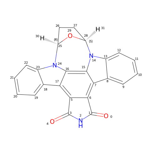 O=C1NC(=O)c2c1c1c3ccccc3n3c1c1c2c2ccccc2n1[C@H]1CC[C@@H]3O1